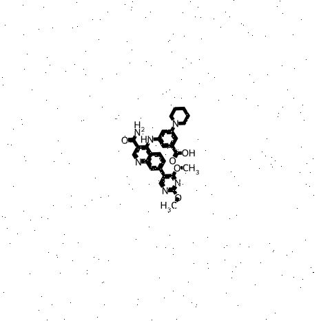 COc1ncc(-c2ccc3c(Nc4cc(C(=O)O)cc(N5CCCCC5)c4)c(C(N)=O)cnc3c2)c(OC)n1